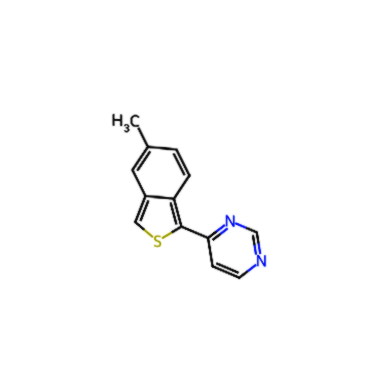 Cc1ccc2c(-c3ccncn3)scc2c1